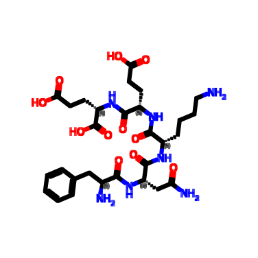 NCCCC[C@H](NC(=O)[C@H](CC(N)=O)NC(=O)[C@@H](N)Cc1ccccc1)C(=O)N[C@@H](CCC(=O)O)C(=O)N[C@@H](CCC(=O)O)C(=O)O